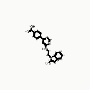 O=C(O)c1ccc(-c2cc(NCCn3c(Br)cc4ccccc43)ncn2)cc1